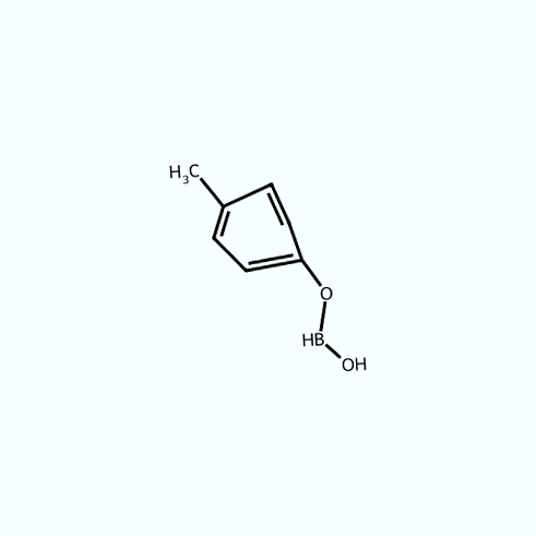 Cc1ccc(OBO)cc1